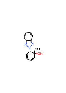 CC(C)(C)C1(O)C=CC=CC1n1nc2ccccc2n1